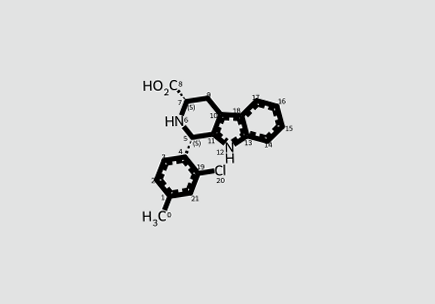 Cc1ccc([C@@H]2N[C@H](C(=O)O)Cc3c2[nH]c2ccccc32)c(Cl)c1